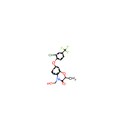 CC1Oc2cc(Oc3ccc(C(F)(F)F)cc3Cl)ccc2N(CO)C1=O